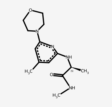 CNC(=O)[C@H](C)Nc1cc(C)cc(N2CCOCC2)n1